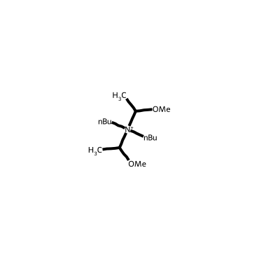 CCCC[N+](CCCC)(C(C)OC)C(C)OC